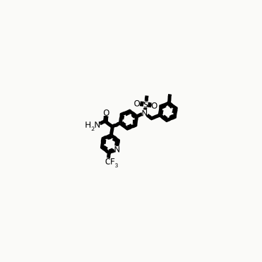 Cc1cccc(CN(c2ccc(C(C(N)=O)c3ccc(C(F)(F)F)nc3)cc2)S(C)(=O)=O)c1